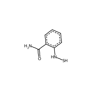 NC(=O)c1ccccc1NS